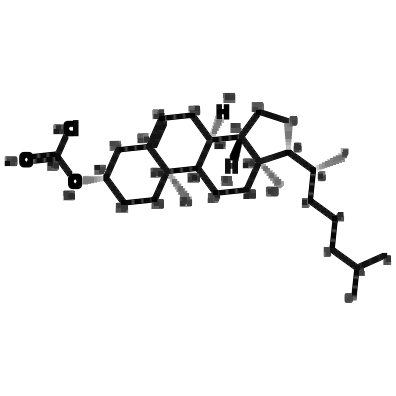 CC(C)CCC[C@@H](C)[C@H]1CC[C@H]2[C@@H]3CC=C4C[C@@H](OC(=O)Cl)CC[C@]4(C)C3CC[C@]12C